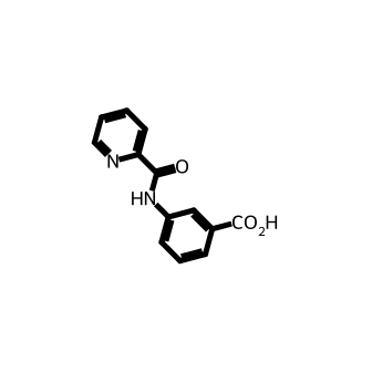 O=C(O)c1cccc(NC(=O)c2ccccn2)c1